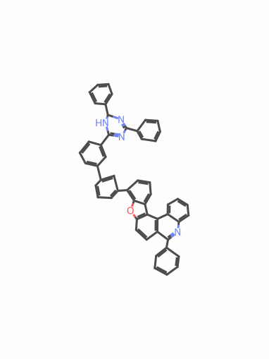 c1ccc(C2=NC(c3ccccc3)NC(c3cccc(-c4cccc(-c5cccc6c5oc5ccc7c(-c8ccccc8)nc8ccccc8c7c56)c4)c3)=N2)cc1